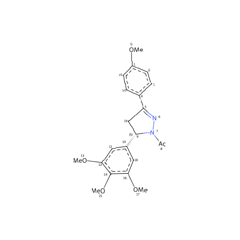 COc1ccc(C2=NN(C(C)=O)[C@H](c3cc(OC)c(OC)c(OC)c3)C2)cc1